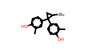 CCCCC1CC1(c1ccc(O)c(C)c1)c1ccc(O)c(C)c1